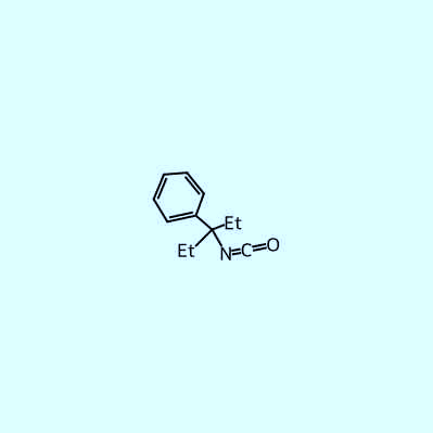 CCC(CC)(N=C=O)c1ccccc1